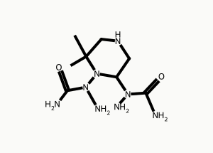 CC1(C)CNCC(N(N)C(N)=O)N1N(N)C(N)=O